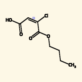 CCCCOC(=O)/C(Cl)=C\C(=O)O